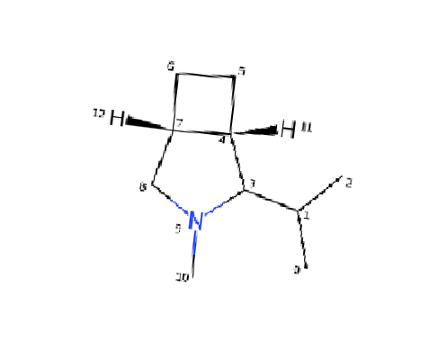 CC(C)C1[C@H]2CC[C@H]2CN1C